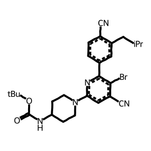 CC(C)Cc1cc(-c2nc(N3CCC(NC(=O)OC(C)(C)C)CC3)cc(C#N)c2Br)ccc1C#N